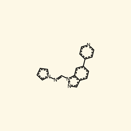 C(=Nn1cccc1)n1ncc2ccc(-c3ccncc3)cc21